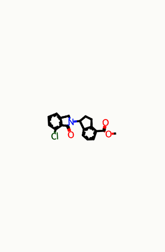 COC(=O)c1cccc2c1CCC2N1Cc2cccc(Cl)c2C1=O